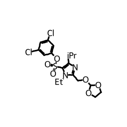 CCn1c(COC2OCCO2)nc(C(C)C)c1S(=O)(=O)Oc1cc(Cl)cc(Cl)c1